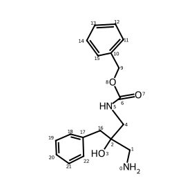 NCC(O)(CNC(=O)OCc1ccccc1)Cc1ccccc1